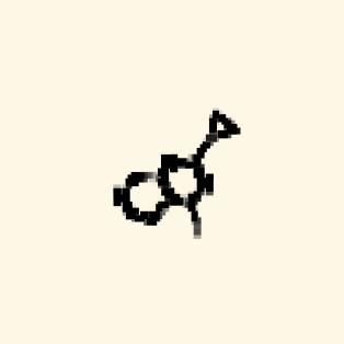 Ic1nc(C2CC2)nc2cnccc12